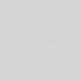 CNCC(=O)NNC(=O)CC(C)(C)C